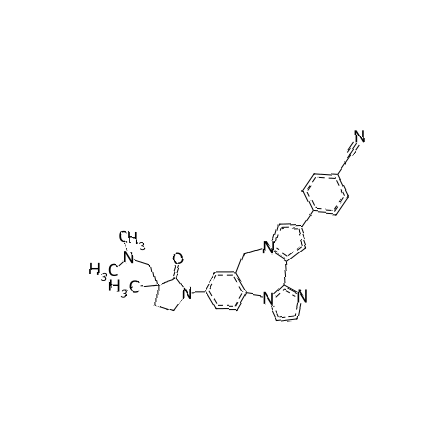 CN(C)CC1(C)CCN(c2ccc3c(c2)Cn2cc(-c4ccc(C#N)cc4)cc2-c2nccn2-3)C1=O